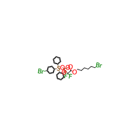 O=C(OCCCCCCBr)C(F)(F)S(=O)(=O)OS(c1ccccc1)(c1ccccc1)c1ccc(Br)cc1